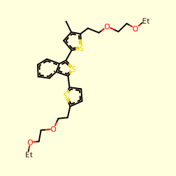 CCOCCOCCc1ccc(-c2sc(-c3cc(C)c(CCOCCOCC)s3)c3ccccc23)s1